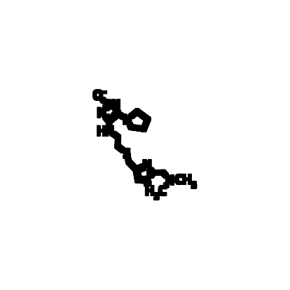 CN(C)Cc1nc(CSCCNc2n[s+]([O-])nc2N2CCCC2)cs1